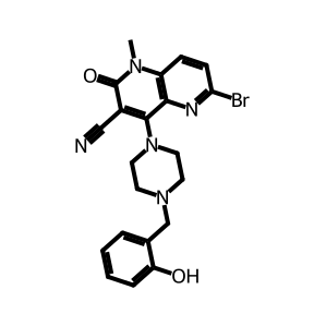 Cn1c(=O)c(C#N)c(N2CCN(Cc3ccccc3O)CC2)c2nc(Br)ccc21